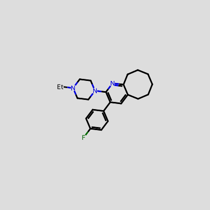 CCN1CCN(c2nc3c(cc2-c2ccc(F)cc2)CCCCCC3)CC1